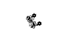 CC[C@@H](OCc1ccccc1)[C@H](NC(=O)CNC(=O)[C@@H](NC(C)=O)[C@@H](C)OCc1ccccc1)C(=O)O